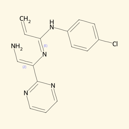 C=C/C(=N\C(=C/N)c1ncccn1)Nc1ccc(Cl)cc1